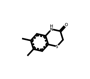 Cc1cc2c(cc1C)SCC(=O)N2